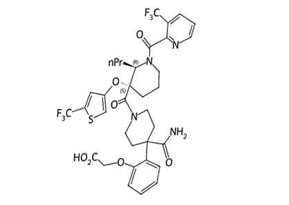 CCC[C@H]1N(C(=O)c2ncccc2C(F)(F)F)CCC[C@@]1(Oc1csc(C(F)(F)F)c1)C(=O)N1CCC(C(N)=O)(c2ccccc2OCC(=O)O)CC1